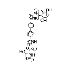 COC(=O)N[C@H](C(=O)N1CCC[C@H]1c1ncc(-c2ccc(-c3ccc(-c4cnc([C@@H]5CCCN5C(=O)[C@H]([C@@H](C)O)N(C)C(=O)O)[nH]4)cc3)cc2)[nH]1)[C@@H](C)O